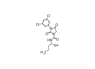 CCCC(S)NC(=O)N1CC(=O)N(c2cc(Cl)cc(Cl)c2)C1=O